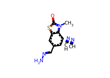 C#N.C#N.Cn1c(=O)sc2cc(C=NN)ccc21